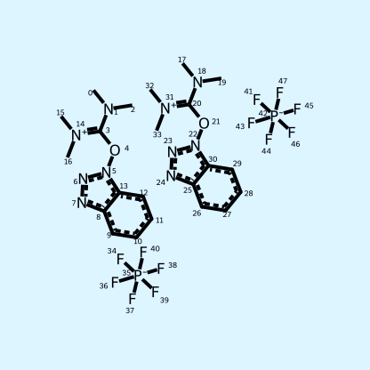 CN(C)C(On1nnc2ccccc21)=[N+](C)C.CN(C)C(On1nnc2ccccc21)=[N+](C)C.F[P-](F)(F)(F)(F)F.F[P-](F)(F)(F)(F)F